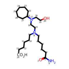 NC(=O)CCCCCN(CCCCCC(=O)O)CCN(CCO)C1CCCCCC1